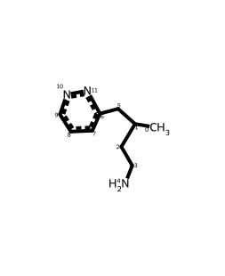 CC(CCN)Cc1cccnn1